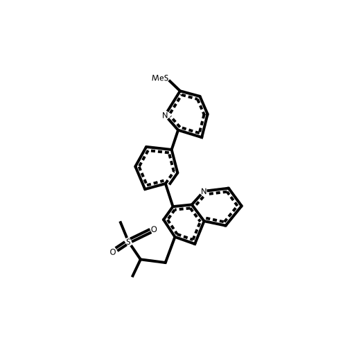 CSc1cccc(-c2cccc(-c3cc(CC(C)S(C)(=O)=O)cc4cccnc34)c2)n1